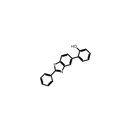 Oc1ccccc1-c1ccc2sc(-c3ccccc3)nc2c1